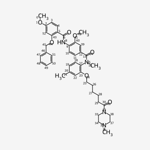 COc1ccc(C(=O)Nc2ccc(C(=O)N(C)c3ccc(C)cc3OCCCCCC(=O)N3CCN(C)CC3)cc2OC)c(OCc2ccccc2)c1